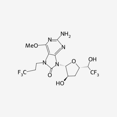 COc1nc(N)nc2c1n(CCC(F)(F)F)c(=O)n2[C@@H]1O[C@H](C(O)C(F)(F)F)C[C@H]1O